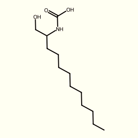 CCCCCCCCCCC(CO)NC(=O)O